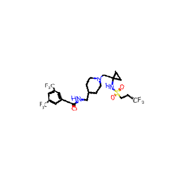 O=C(NCC1CCN(CC2(NS(=O)(=O)CCC(F)(F)F)CC2)CC1)c1cc(C(F)(F)F)cc(C(F)(F)F)c1